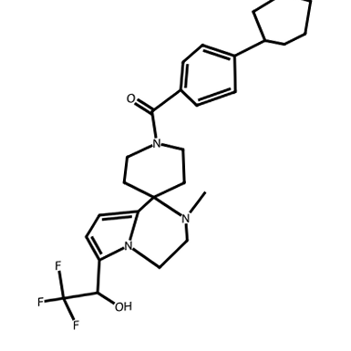 CN1CCn2c(C(O)C(F)(F)F)ccc2C12CCN(C(=O)c1ccc(C3CCCCC3)cc1)CC2